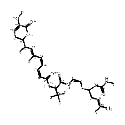 CNC(=O)OC(C/C=C\NC(=O)C(NC(=O)\C=C/C=C\C(C)=C\C(C)C1CC=C(OC)C(=O)O1)C(C)(C)C)C/C=C(\C)Cl